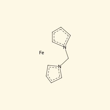 [Fe].c1ccn(Cn2cccc2)c1